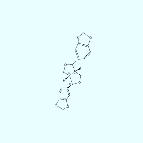 c1cc2c(cc1C1OC[C@H]3[C@H](c4ccc5c(c4)OCO5)OC[C@@H]13)OCO2